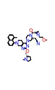 COCCN1C[C@@H]1C(=O)N1CCN(c2nc(OC[C@@H]3CCCN3C)nc3c2CCN(c2cccc4cccc(C)c24)C3)C[C@@H]1CC#N